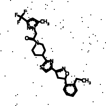 CCc1ccccc1C1CC(c2csc(C3CCN(C(=O)Cn4nc(C(F)(F)F)cc4C)CC3)n2)=NO1